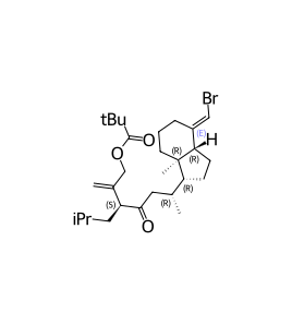 C=C(COC(=O)C(C)(C)C)[C@H](CC(C)C)C(=O)C[C@@H](C)[C@H]1CC[C@H]2/C(=C/Br)CCC[C@]12C